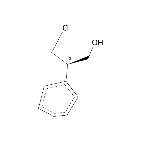 OC[C@H](CCl)c1ccccc1